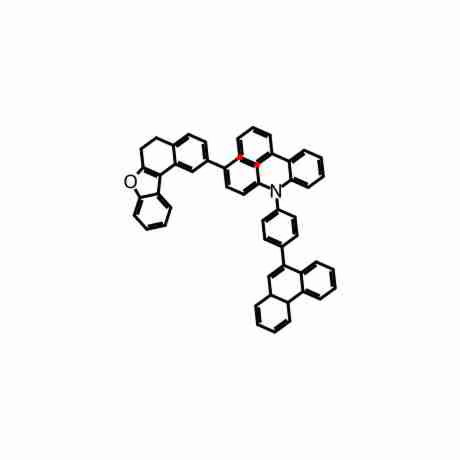 C1=CC2C=C(c3ccc(N(c4ccc(-c5ccc6c(c5)-c5c(oc7ccccc57)CC6)cc4)c4ccccc4-c4ccccc4)cc3)c3ccccc3C2C=C1